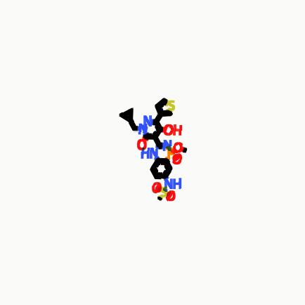 COP1(=O)N=C(c2c(O)c(-c3ccsc3)nn(CC3CC3)c2=O)Nc2ccc(NS(C)(=O)=O)cc21